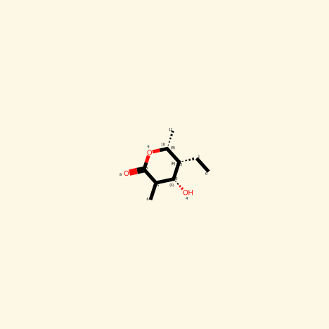 CC[C@@H]1[C@H](O)C(C)C(=O)O[C@@H]1C